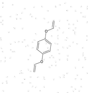 C=COc1ccc(OC=C)cc1